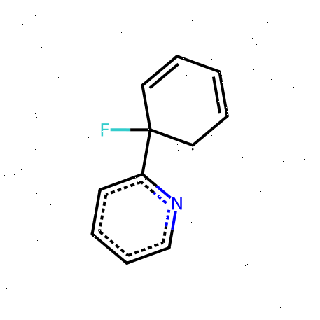 FC1(c2ccccn2)[CH]C=CC=C1